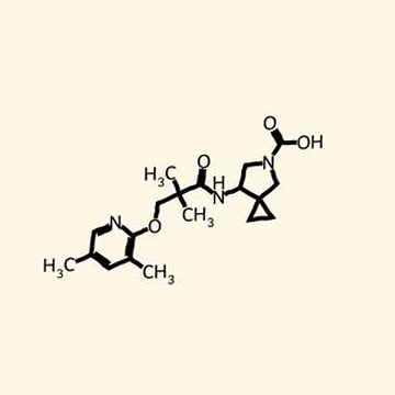 Cc1cnc(OCC(C)(C)C(=O)NC2CN(C(=O)O)CC23CC3)c(C)c1